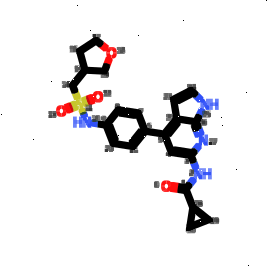 O=C(Nc1cc(-c2ccc(NS(=O)(=O)CC3CCOC3)cc2)c2cc[nH]c2n1)C1CC1